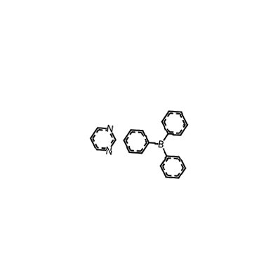 c1ccc(B(c2ccccc2)c2ccccc2)cc1.c1cncnc1